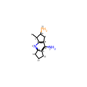 CC1c2nc3c(c(N)c2CC1P)CCC3